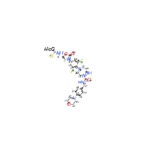 COC(=S)NC[C@H]1CN(c2cc(F)c(N3CCNN(C(=O)NCc4ccc(N5CCOCC5)cc4)CC3)c(F)c2)C(=O)O1